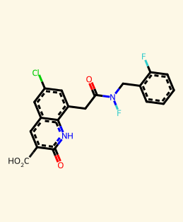 O=C(O)c1cc2cc(Cl)cc(CC(=O)N(F)Cc3ccccc3F)c2[nH]c1=O